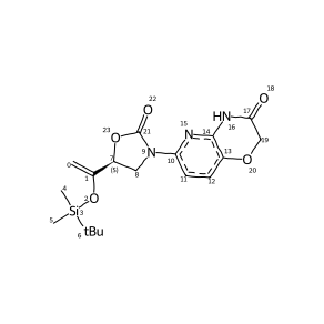 C=C(O[Si](C)(C)C(C)(C)C)[C@@H]1CN(c2ccc3c(n2)NC(=O)CO3)C(=O)O1